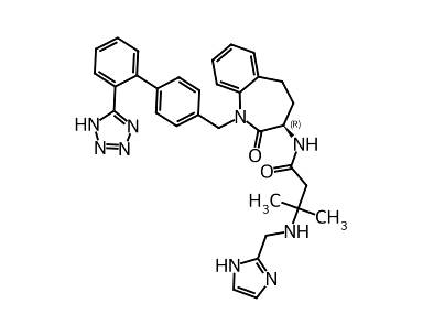 CC(C)(CC(=O)N[C@@H]1CCc2ccccc2N(Cc2ccc(-c3ccccc3-c3nnn[nH]3)cc2)C1=O)NCc1ncc[nH]1